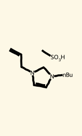 C=CCN1C=CN(CCCC)C1.CS(=O)(=O)O